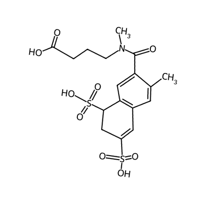 Cc1cc2c(cc1C(=O)N(C)CCCC(=O)O)C(S(=O)(=O)O)CC(S(=O)(=O)O)=C2